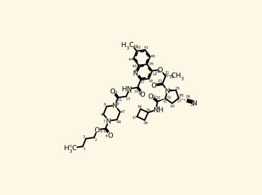 CCCCOC(=O)N1CCN(C(=O)CNC(=O)c2cc(O[C@H](C)C(=O)N3C[C@H](C#N)C[C@H]3C(=O)NC3CCC3)c3ccc(C)cc3n2)CC1